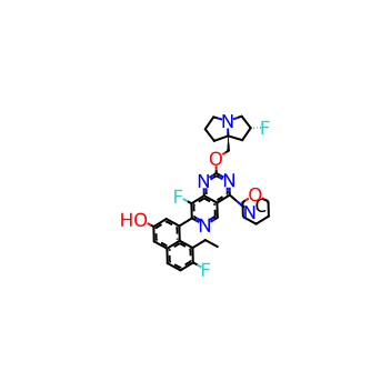 CCc1c(F)ccc2cc(O)cc(-c3ncc4c(N5CC6CCC5CO6)nc(OC[C@@]56CCCN5C[C@H](F)C6)nc4c3F)c12